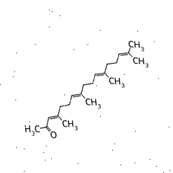 CC(=O)/C=C(\C)CC/C=C(\C)CC/C=C(\C)CCC=C(C)C